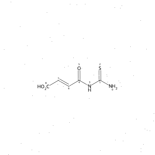 NC(=S)NC(=O)C=CC(=O)O